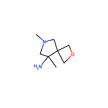 CN1CC(C)(N)C2(COC2)C1